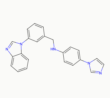 c1cc(CNc2ccc(-n3ccnc3)cc2)cc(-n2cnc3ccccc32)c1